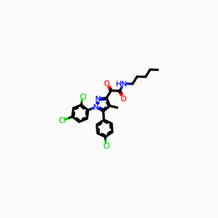 CCCCCNC(=O)C(=O)c1nn(-c2ccc(Cl)cc2Cl)c(-c2ccc(Cl)cc2)c1C